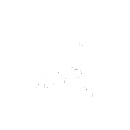 CNC(=O)C(NC(=O)c1nc(CCCN2CCOCC2)n2c1CN(C)CC2)C(C)(C)C